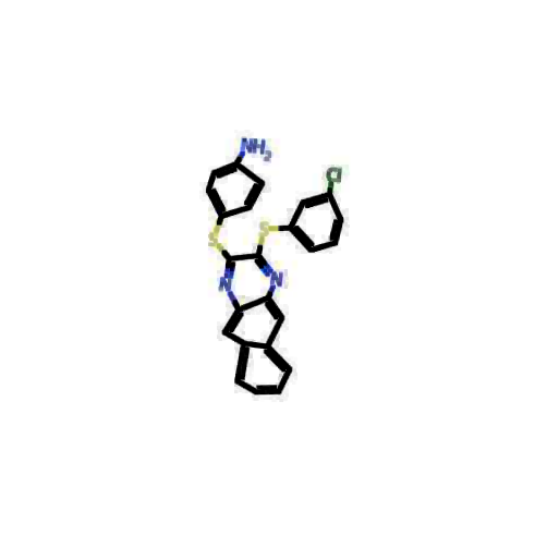 Nc1ccc(Sc2nc3cc4ccccc4cc3nc2Sc2cccc(Cl)c2)cc1